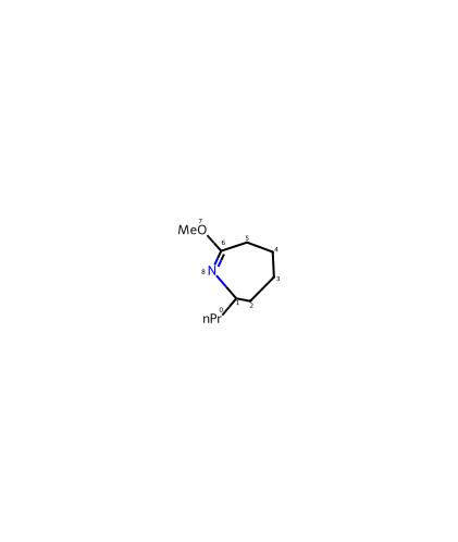 CCCC1CCCCC(OC)=N1